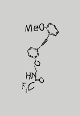 COc1ccccc1C#Cc1cccc(OCCNC(=O)C(F)(F)F)c1